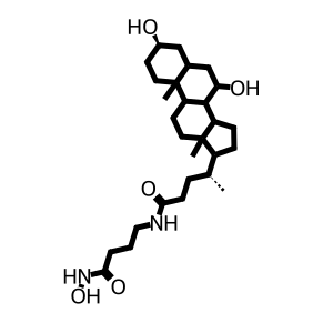 C[C@H](CCC(=O)NCCCC(=O)NO)C1CCC2C3C(O)CC4C[C@H](O)CCC4(C)C3CCC21C